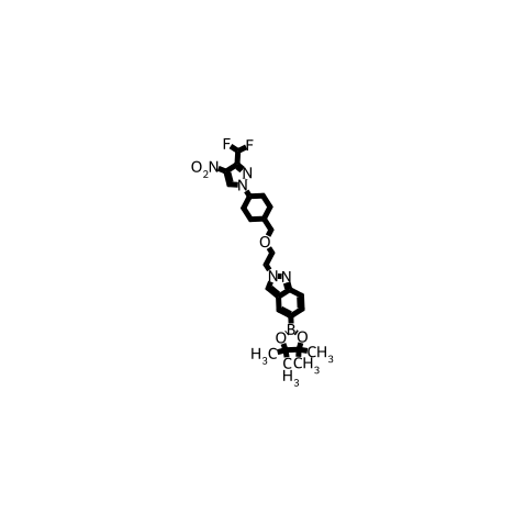 CC1(C)OB(c2ccc3nn(CCOCC4CCC(n5cc([N+](=O)[O-])c(C(F)F)n5)CC4)cc3c2)OC1(C)C